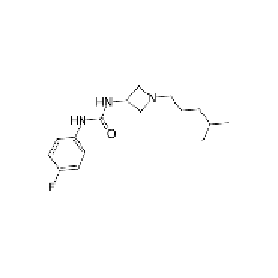 CC(C)CCCN1CC(NC(=O)Nc2ccc(F)cc2)C1